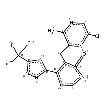 Cc1ncc(Cl)nc1Cc1c(-c2noc(C(F)(F)F)n2)cc[nH]c1=O